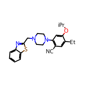 CCc1cc(C#N)c(N2CCN(Cc3nc4ccccc4s3)CC2)cc1OC(C)C